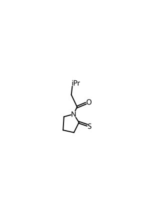 CC(C)CC(=O)N1CCCC1=S